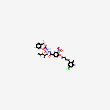 C=CC[C@H](C)CS(=O)(=NC(=O)c1ccc(OCCCCc2cc(Cl)ccc2C)c([N+](=O)[O-])c1)NC(=O)O[C@@H](C)c1ccccc1